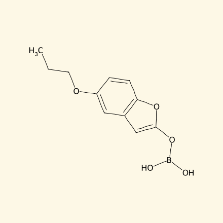 CCCOc1ccc2oc(OB(O)O)cc2c1